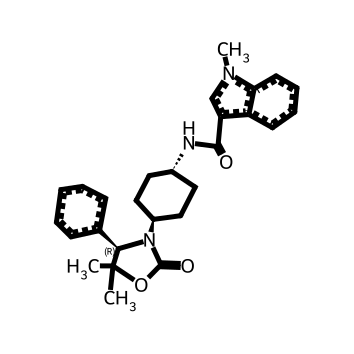 Cn1cc(C(=O)N[C@H]2CC[C@H](N3C(=O)OC(C)(C)[C@H]3c3ccccc3)CC2)c2ccccc21